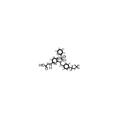 CC(C)(C)CC(C)(C)c1ccc(CC(NS(=O)(=O)c2ccccn2)c2cccc(NCC(=O)O)n2)cc1